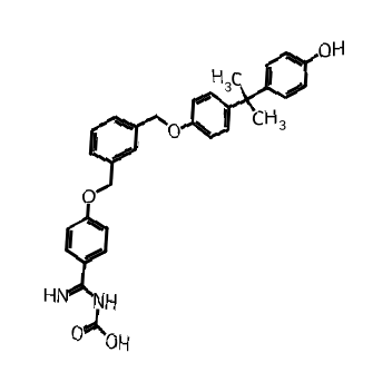 CC(C)(c1ccc(O)cc1)c1ccc(OCc2cccc(COc3ccc(C(=N)NC(=O)O)cc3)c2)cc1